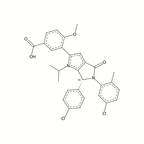 COc1ccc(C(=O)O)cc1-c1cc2c(n1C(C)C)[C@@H](c1ccc(Cl)cc1)N(c1cc(Cl)ccc1C)C2=O